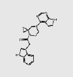 O=C(Cc1c[nH]c2ccccc12)N1CCN(c2ncnc3[nH]ccc23)CC12CC2